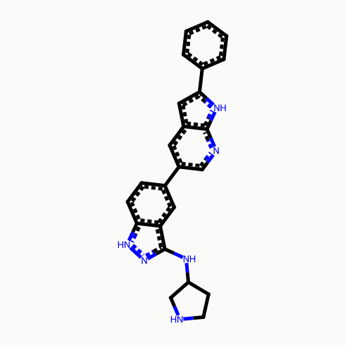 c1ccc(-c2cc3cc(-c4ccc5[nH]nc(NC6CCNC6)c5c4)cnc3[nH]2)cc1